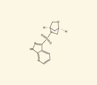 O=S(=O)(c1n[nH]c2ncccc12)N1C[C@H]2C[C@@H]1CO2